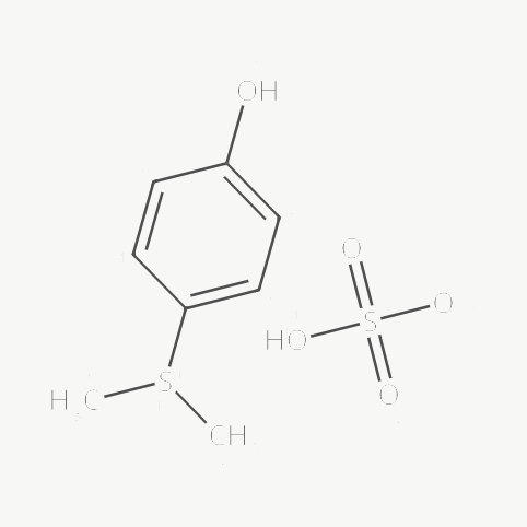 C[S+](C)c1ccc(O)cc1.O=S(=O)([O-])O